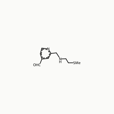 CSCCNCc1cc(C=O)ccn1